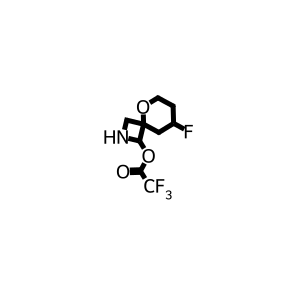 O=C(OC1NCC12CC(F)CCO2)C(F)(F)F